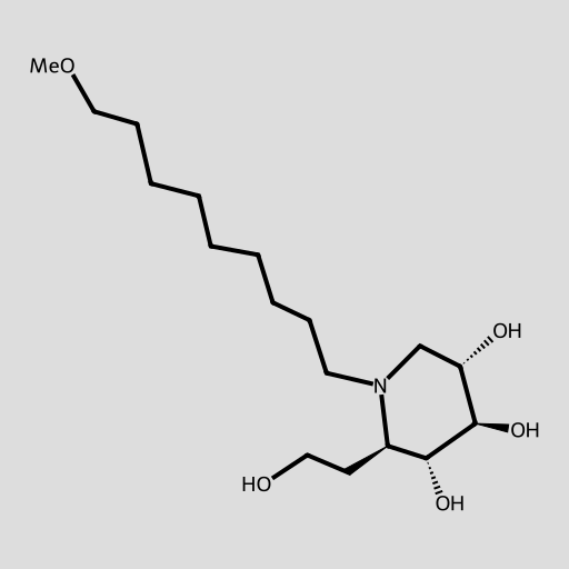 COCCCCCCCCCN1C[C@H](O)[C@@H](O)[C@H](O)[C@H]1CCO